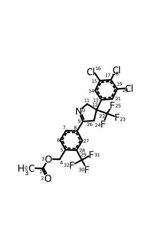 CC(=O)OCc1ccc(C2=NCC(c3cc(Cl)c(Cl)c(Cl)c3)(C(F)(F)F)C2)cc1C(F)(F)F